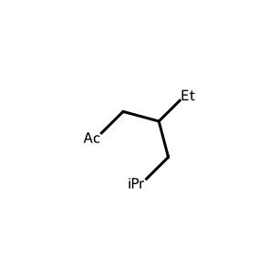 CCC(CC(C)=O)CC(C)C